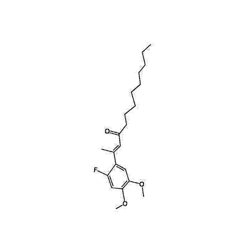 CCCCCCCCCC(=O)/C=C(\C)c1cc(OC)c(OC)cc1F